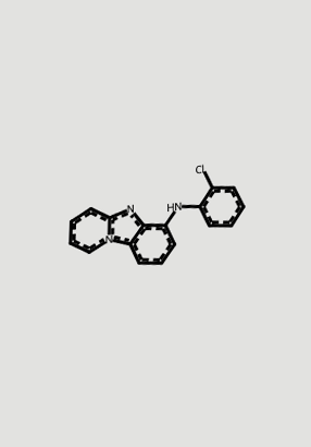 Clc1ccccc1Nc1cccc2c1nc1ccccn12